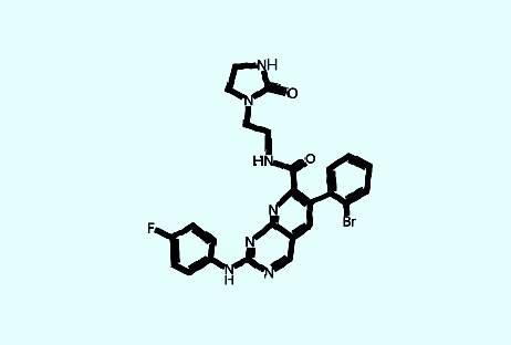 O=C(NCCN1CCNC1=O)c1nc2nc(Nc3ccc(F)cc3)ncc2cc1-c1ccccc1Br